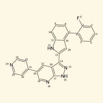 Fc1ccccc1-c1cccc2[nH]c(-c3n[nH]c4ncc(-c5ccncc5)cc34)cc12